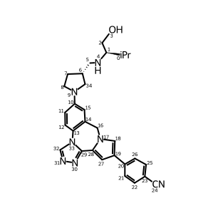 CC(C)[C@H](CO)NC[C@H]1CCN(c2ccc3c(c2)Cn2cc(-c4ccc(C#N)cc4)cc2-c2nncn2-3)C1